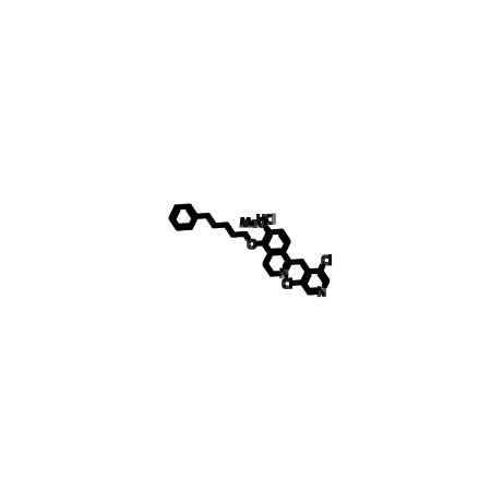 COc1ccc2c(c1OCCCCCc1ccccc1)CCN=C2Cc1c(Cl)cncc1Cl.Cl